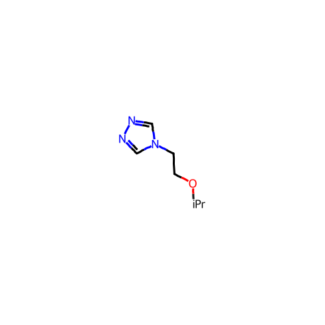 CC(C)OCCn1cnnc1